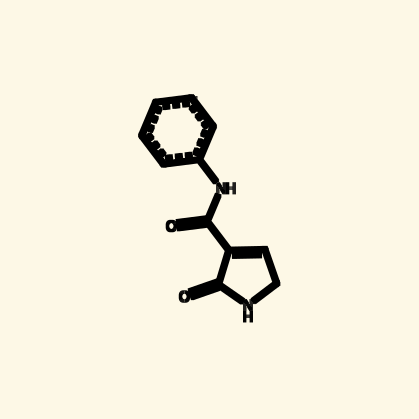 O=C1NCC=C1C(=O)Nc1c[c]ccc1